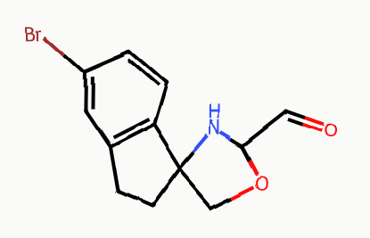 O=CC1NC2(CCc3cc(Br)ccc32)CO1